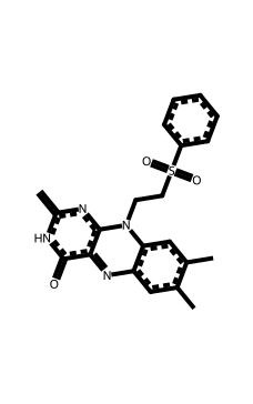 C=c1nc2c(c(=O)[nH]1)=Nc1cc(C)c(C)cc1N2CCS(=O)(=O)c1ccccc1